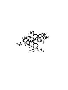 C[C@H](N)[C@H]1O[C@@H](OC2C(O)[C@H](N)CC(N)[C@H]2O[C@H]2OC(CO)([C@H](O)CO)CC(O)C2N)C(O)C1O